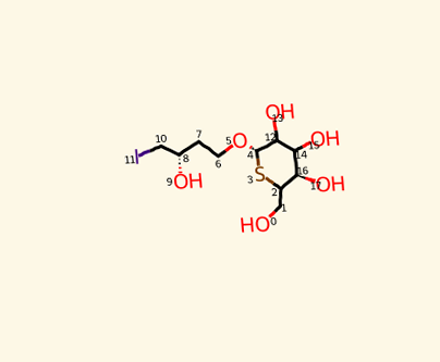 OCC1S[C@H](OCC[C@H](O)CI)C(O)C(O)[C@H]1O